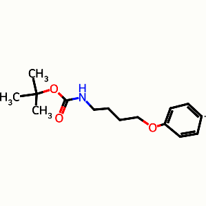 CC(C)(C)OC(=O)NCCCCOc1cc[c]cc1